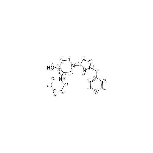 O[C@H]1CCN(c2ccn(Cc3ccccc3)n2)C[C@H]1N1CCOCC1